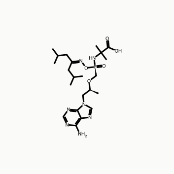 CC(C)CC(CC(C)C)=NO[P@](=O)(CO[C@@H](C)Cn1cnc2c(N)ncnc21)NC(C)(C)C(=O)O